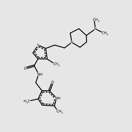 Cc1cc(C)c(CNC(=O)c2csc(CCN3CCC(N(C)C)CC3)c2C)c(=O)[nH]1